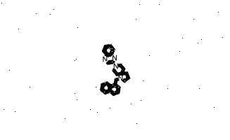 c1ccc2c(CN3CCCC34CCN(c3cnc5ccccc5n3)CC4)cccc2c1